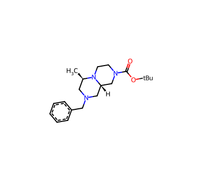 C[C@@H]1CN(Cc2ccccc2)C[C@H]2CN(C(=O)OC(C)(C)C)CCN21